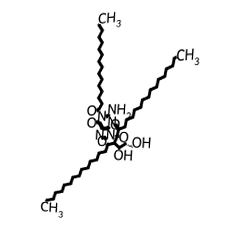 CCCCCCCCCCCCCCCC(=O)C1[C@H](O)[C@@H](CO)O[C@@]1(C(=O)CCCCCCCCCCCCCCC)n1cnc2c(=O)n(C(=O)CCCCCCCCCCCCCCC)c(N)nc21